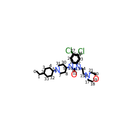 CCC1CCC(N2CCC(n3c(=O)n(CCN4CCOCC4)c4cc(Cl)c(Cl)cc43)CC2)CC1